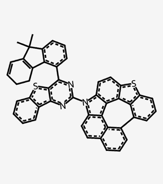 CC1(C)C2=C(CCC=C2)c2c(-c3nc(-n4c5ccc6cccc7c6c5c5c6c(ccc54)sc4cccc-7c46)nc4c3sc3ccccc34)cccc21